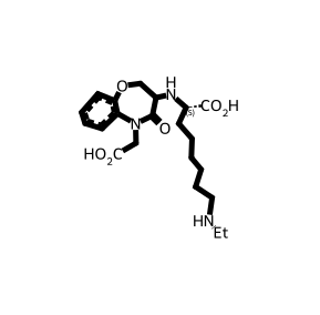 CCNCCCCCC[C@H](NC1COc2ccccc2N(CC(=O)O)C1=O)C(=O)O